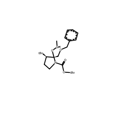 C[SiH](C)O[C@@]1(COCc2ccccc2)[C@H](C(C)(C)C)CCN1C(=O)OC(C)(C)C